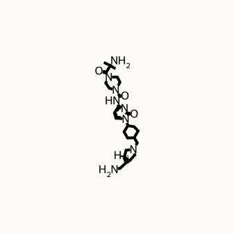 CC(C)(N)C(=O)N1CCN(C(=O)Nc2ccn(C3CCC(CN4CC5C(CN)[C@@H]5C4)CC3)c(=O)n2)CC1